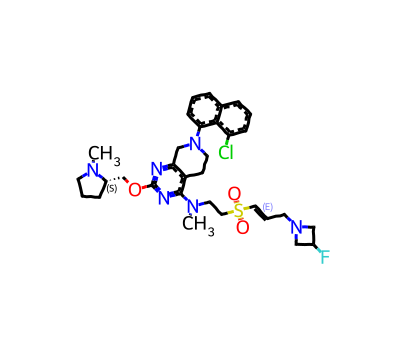 CN(CCS(=O)(=O)/C=C/CN1CC(F)C1)c1nc(OC[C@@H]2CCCN2C)nc2c1CCN(c1cccc3cccc(Cl)c13)C2